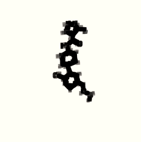 COOCc1ccc(Cl)c(-c2ccc(NC(=O)c3snnc3C)nc2)c1